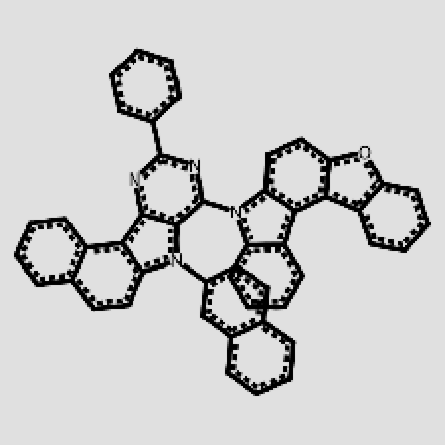 c1ccc(-c2nc(-n3c4ccccc4c4c5c(ccc43)oc3ccccc35)c3c(n2)c2c4ccccc4ccc2n3-c2ccc3ccccc3c2)cc1